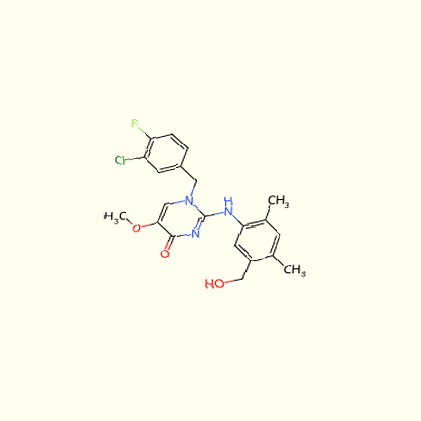 COc1cn(Cc2ccc(F)c(Cl)c2)c(Nc2cc(CO)c(C)cc2C)nc1=O